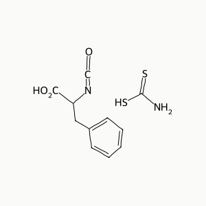 NC(=S)S.O=C=NC(Cc1ccccc1)C(=O)O